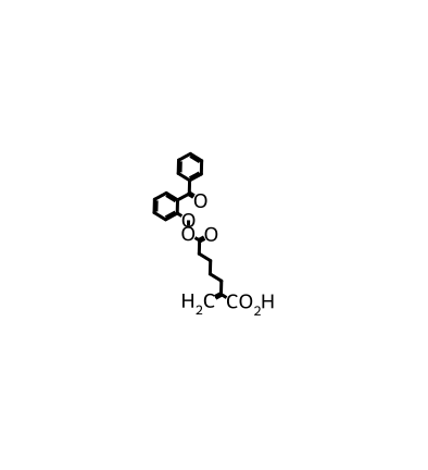 C=C(CCCCC(=O)OOc1ccccc1C(=O)c1ccccc1)C(=O)O